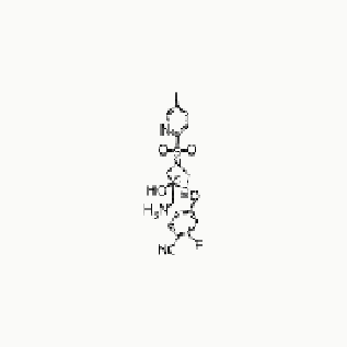 Cc1ccc(S(=O)(=O)N2C[C@H](Oc3ccc(C#N)c(F)c3)[C@](O)(CN)C2)nc1